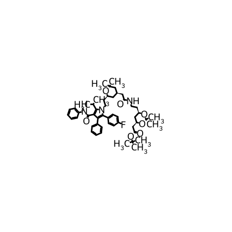 CC(C)c1c(C(=O)Nc2ccccc2)c(-c2ccccc2)c(-c2ccc(F)cc2)n1CC[C@@H]1C[C@H](CC(=O)NCC[C@@H]2C[C@H](CC(=O)OC(C)(C)C)OC(C)(C)O2)CC(C)(C)O1